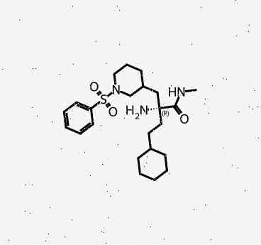 CNC(=O)[C@@](N)(CCC1CCCCC1)CC1CCCN(S(=O)(=O)c2ccccc2)C1